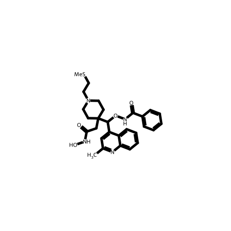 CSCCN1CCC(CC(=O)NO)(C(ONC(=O)c2ccccc2)c2cc(C)nc3ccccc23)CC1